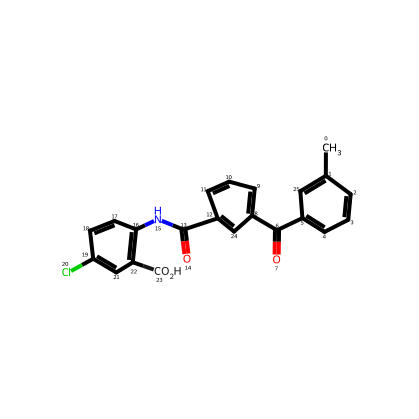 Cc1cccc(C(=O)c2cccc(C(=O)Nc3ccc(Cl)cc3C(=O)O)c2)c1